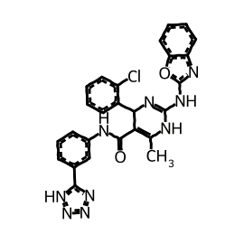 CC1=C(C(=O)Nc2cccc(-c3nnn[nH]3)c2)C(c2ccccc2Cl)N=C(Nc2nc3ccccc3o2)N1